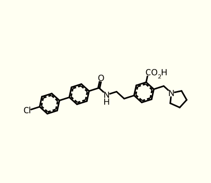 O=C(NCCc1ccc(CN2CCCC2)c(C(=O)O)c1)c1ccc(-c2ccc(Cl)cc2)cc1